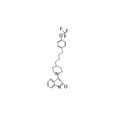 [O]c1cc(N2CCC(CCCCc3ccc(OC(F)(F)F)cc3)CC2)c2ccccc2n1